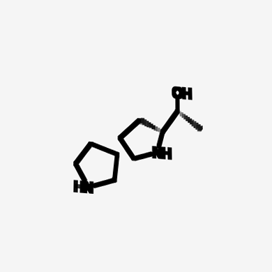 C1CCNC1.C[C@@H](O)[C@H]1CCCN1